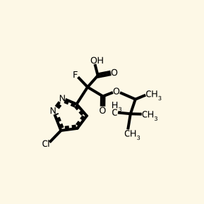 CC(OC(=O)C(F)(C(=O)O)c1ccc(Cl)nn1)C(C)(C)C